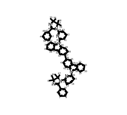 CC1(C)N=C(c2ccccc2)N(c2cccc(-n3c4ccccc4c4cc(-c5ccc6c(c5)c5ccccc5n6-c5cccc(N6C(c7ccccc7)=NC(C)(C)C6(C)C)n5)ccc43)n2)C1(C)C